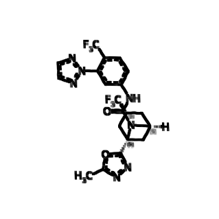 Cc1nnc([C@]23C[C@H](C[C@H](C(F)(F)F)C2)N3C(=O)Nc2ccc(C(F)(F)F)c(-n3nccn3)c2)o1